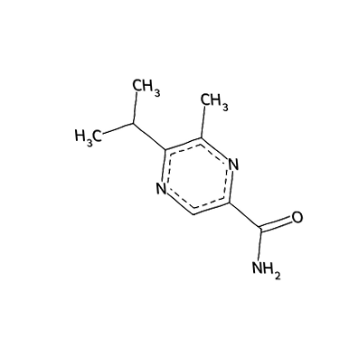 Cc1nc(C(N)=O)cnc1C(C)C